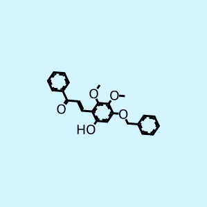 COc1c(OCc2ccccc2)cc(O)c(C=CC(=O)c2ccccc2)c1OC